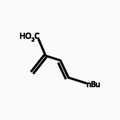 C=C(/C=C/CCCC)C(=O)O